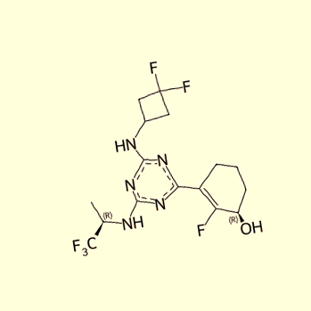 C[C@@H](Nc1nc(NC2CC(F)(F)C2)nc(C2=C(F)[C@H](O)CCC2)n1)C(F)(F)F